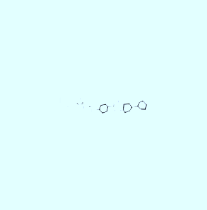 C=CC(=O)OCOc1ccc(C(=O)Oc2ccc(-c3ccccc3)cc2)cc1